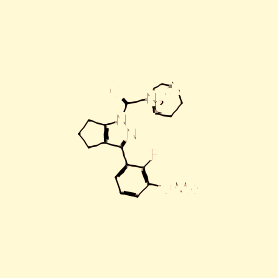 COc1cccc(-c2nn(C(=O)N3CCN4CCC3CC4)c3c2CCC3)c1F